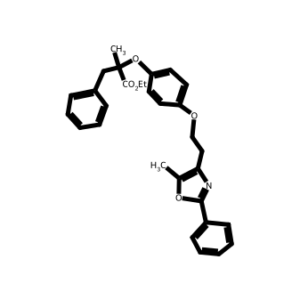 CCOC(=O)C(C)(Cc1ccccc1)Oc1ccc(OCCc2nc(-c3ccccc3)oc2C)cc1